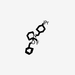 CC(C)C1CCC(CN2CCCCC2(CF)OCc2ccccc2)CC1